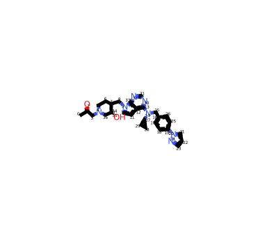 CC(=O)CN1CCC(Cn2ccc3c(N(Cc4ccc(-n5cccn5)cc4)C4CC4)ncnc32)[C@@H](O)C1